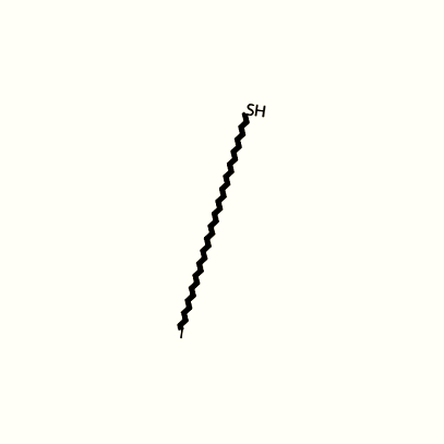 SCCCCCCCCCCCCCCCCCCCCCCCCCCCCCCCCCCCI